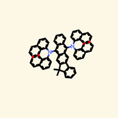 CC1(C)c2ccccc2-c2cc3c(N(c4cccc5ccccc45)c4cccc5ccccc45)c4ccccc4c(N(c4cccc5ccccc45)c4cccc5ccccc45)c3cc21